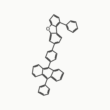 c1ccc(-c2c3ccccc3c(-c3ccc(-c4ccc5c(c4)oc4cccc(-c6ccccc6)c45)cc3)c3ccccc23)cc1